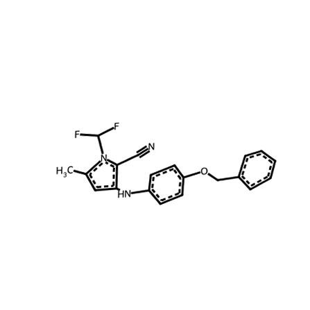 Cc1cc(Nc2ccc(OCc3ccccc3)cc2)c(C#N)n1C(F)F